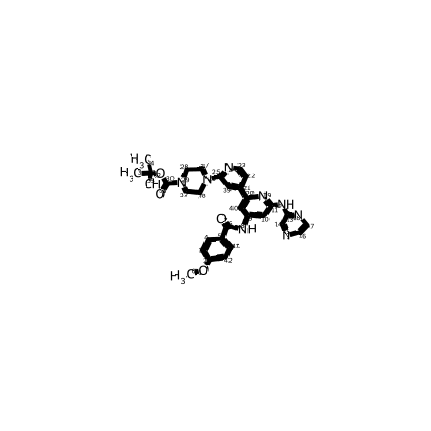 COc1ccc(C(=O)Nc2cc(Nc3cnccn3)nc(-c3ccnc(N4CCN(C(=O)OC(C)(C)C)CC4)c3)c2)cc1